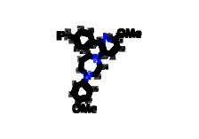 COc1ccc(N2CCCN(c3ccc(OC)nc3-c3ccc(C(C)C)cc3)CC2)cc1